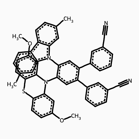 COc1ccc2c(c1)N(c1cc(-c3cccc(C#N)c3)c(-c3cccc(C#N)c3)cc1-n1c3cc(C)ccc3c3ccc(C)cc31)c1cc(OC)ccc1S2